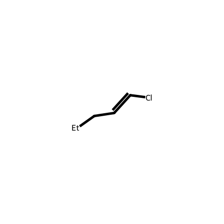 CCCC=CCl